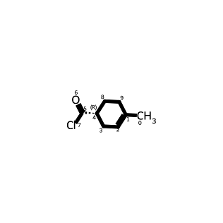 CC1=CC[C@H](C(=O)Cl)CC1